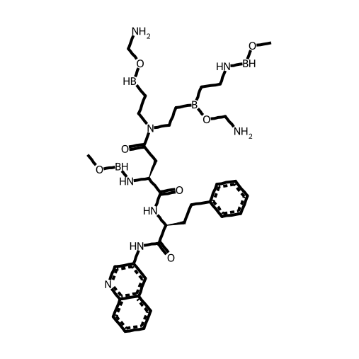 COBNCCB(CCN(CCBOCN)C(=O)C[C@H](NBOC)C(=O)N[C@@H](CCc1ccccc1)C(=O)Nc1cnc2ccccc2c1)OCN